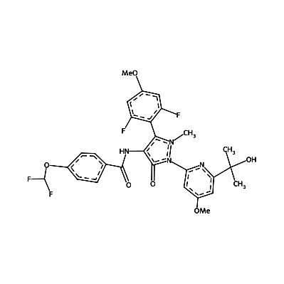 COc1cc(-n2c(=O)c(NC(=O)c3ccc(OC(F)F)cc3)c(-c3c(F)cc(OC)cc3F)n2C)nc(C(C)(C)O)c1